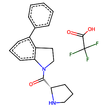 O=C(O)C(F)(F)F.O=C([C@@H]1CCCN1)N1CCc2c(-c3ccccc3)cccc21